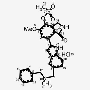 COc1cc(-c2cc3cc(CN(C)Cc4ccccc4)ccc3[nH]2)c2c(c1OS(C)(=O)=O)CNC2=O.Cl